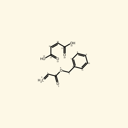 C=CC(=O)OCc1ccccc1.O=C(O)/C=C\C(=O)O